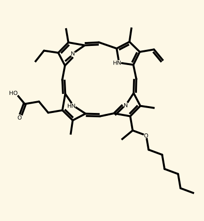 C=Cc1c(C)c2cc3nc(cc4[nH]c(cc5nc(cc1[nH]2)C(C)=C5C(C)OCCCCCC)c(C)c4CCC(=O)O)C(CC)=C3C